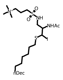 CCCCCCCCCCCCCCCCSC(I)C(CNS(=O)(=O)CCC[N+](C)(C)C)NC(C)=O